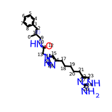 C/C(=C\c1ccccc1)CNC(=O)Cn1cc(CCCCCc2c[nH]c(N)n2)nn1